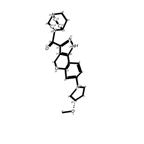 CO[C@H]1CCN(c2ccc3c(c2)OCc2c(C(=O)N4CCN5CCC4CC5)n[nH]c2-3)C1